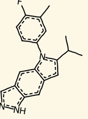 Cc1cc(-n2c(C(C)C)cc3cc4[nH]ncc4cc32)ccc1F